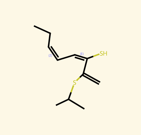 C=C(SC(C)C)/C(S)=C\C=C/CC